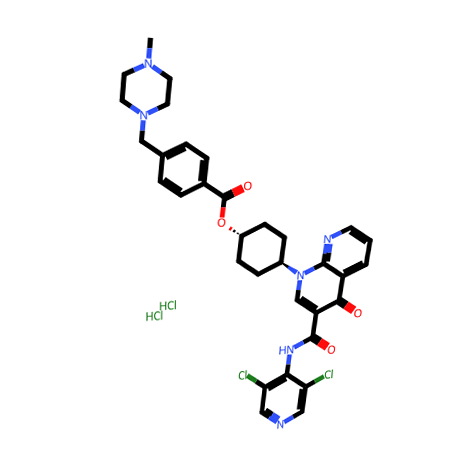 CN1CCN(Cc2ccc(C(=O)O[C@H]3CC[C@H](n4cc(C(=O)Nc5c(Cl)cncc5Cl)c(=O)c5cccnc54)CC3)cc2)CC1.Cl.Cl